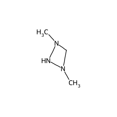 CN1CN(C)N1